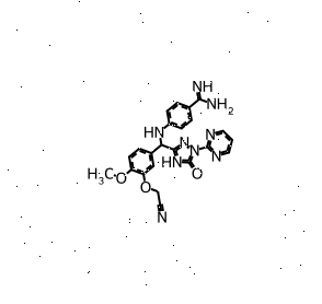 COc1ccc(C(Nc2ccc(C(=N)N)cc2)c2nn(-c3ncccn3)c(=O)[nH]2)cc1OCC#N